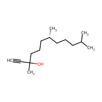 C#CC(C)(O)CCC[C@H](C)CCCC(C)C